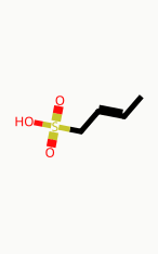 CC=CCS(=O)(=O)O